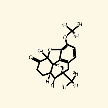 [2H]C([2H])([2H])Oc1ccc2c3c1OC1([2H])C(=O)CC[C@H]4[C@@H](C2)N(C([2H])([2H])[2H])CC[C@@]341